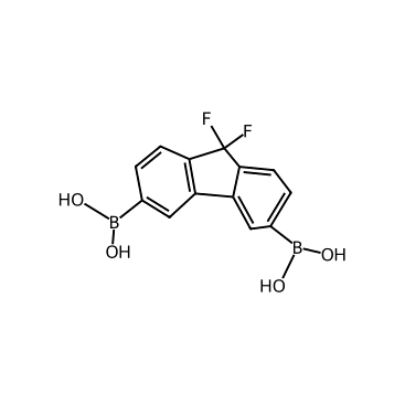 OB(O)c1ccc2c(c1)-c1cc(B(O)O)ccc1C2(F)F